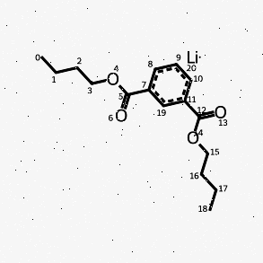 CCCCOC(=O)c1cccc(C(=O)OCCCC)c1.[Li]